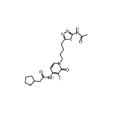 CC(=O)Nc1nnc(CCCCn2ccc(NC(=O)CC3CCCC3)c(F)c2=O)s1